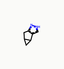 c1[nH]nc2c1C1CC1C2